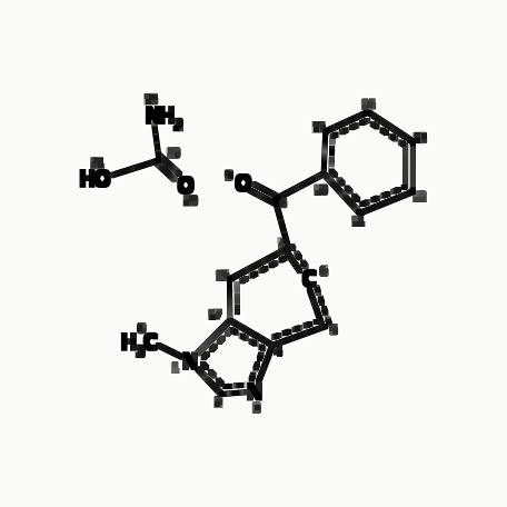 Cn1cnc2ccc(C(=O)c3ccccc3)cc21.NC(=O)O